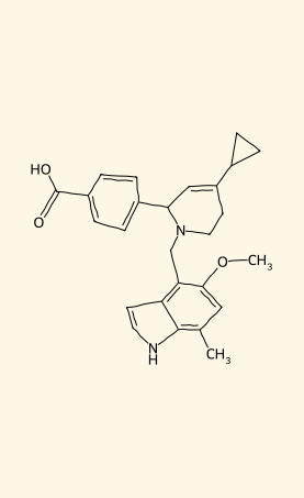 COc1cc(C)c2[nH]ccc2c1CN1CCC(C2CC2)=CC1c1ccc(C(=O)O)cc1